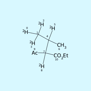 [2H]C([2H])([2H])C([2H])(C)C([2H])(C(C)=O)C(=O)OCC